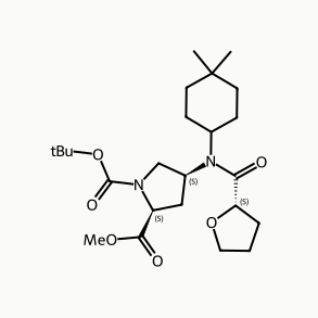 COC(=O)[C@@H]1C[C@H](N(C(=O)[C@@H]2CCCO2)C2CCC(C)(C)CC2)CN1C(=O)OC(C)(C)C